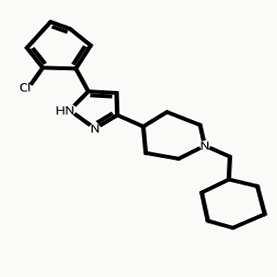 Clc1ccccc1-c1cc(C2CCN(CC3CCCCC3)CC2)n[nH]1